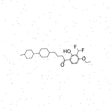 CCOc1ccc(C(=O)CCCC2CCC(C3CCC(C)CC3)CC2)c(O)c1C(F)F